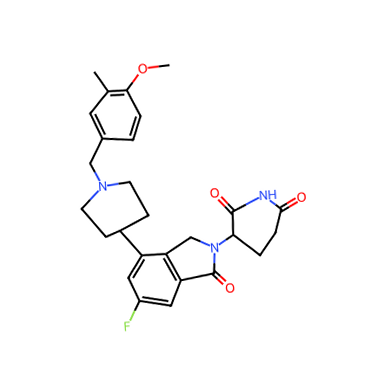 COc1ccc(CN2CCC(c3cc(F)cc4c3CN(C3CCC(=O)NC3=O)C4=O)CC2)cc1C